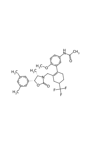 COc1ccc(NC(C)=O)cc1C1=C(CN2C(=O)O[C@H](c3cc(C)cc(C)c3)[C@@H]2C)CC(C(F)(F)F)CC1